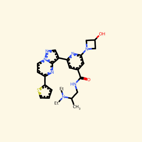 CCN(CC)C(C)CNC(=O)c1cc(-c2cnn3ccc(-c4cccs4)nc23)nc(N2CC(O)C2)c1